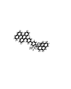 C[Si](C)(c1ccc(-c2ccc(-c3c4ccccc4c(-c4cccc5ccccc45)c4ccccc34)cc2)cc1)c1ccc2ccc3cccc4ccc1c2c34